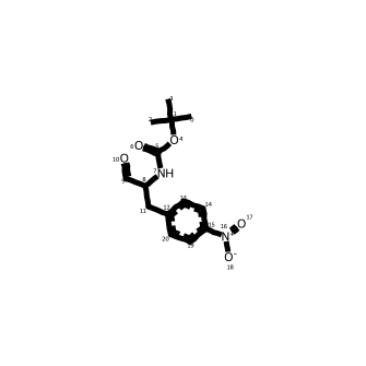 CC(C)(C)OC(=O)NC([C]=O)Cc1ccc([N+](=O)[O-])cc1